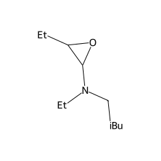 CCC(C)CN(CC)C1OC1CC